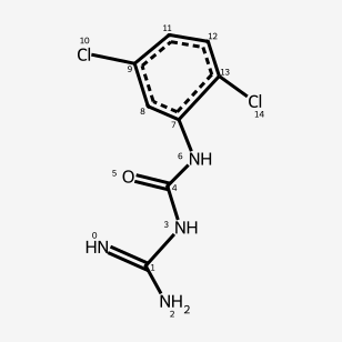 N=C(N)NC(=O)Nc1cc(Cl)ccc1Cl